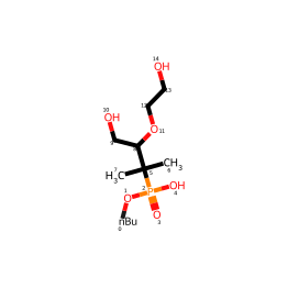 CCCCOP(=O)(O)C(C)(C)C(CO)OCCO